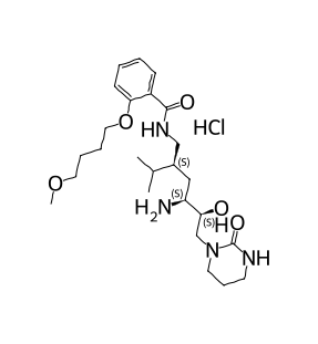 COCCCCOc1ccccc1C(=O)NC[C@@H](C[C@H](N)[C@@H](O)CN1CCCNC1=O)C(C)C.Cl